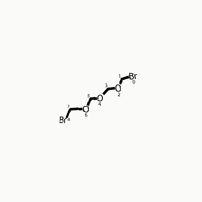 BrCOCOCOCBr